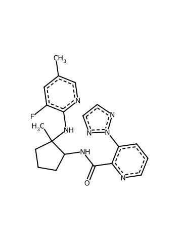 Cc1cnc(NC2(C)CCCC2NC(=O)c2ncccc2-n2nccn2)c(F)c1